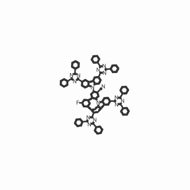 N#Cc1cc2c(cc1-n1c3ccc(-c4nc(-c5ccccc5)nc(-c5ccccc5)n4)cc3c3cc(-c4nc(-c5ccccc5)nc(-c5ccccc5)n4)ccc31)c1cc(F)cc(c1)c1cc3c(cc1-c1nc(-c4ccccc4)nc(-c4ccccc4)n1)c1cc(-c4nc(-c5ccccc5)nc(-c5ccccc5)n4)ccc1n23